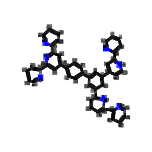 c1ccc(-c2cc(-c3cc(-c4ccc(-c5cc(-c6ccccn6)nc(-c6ccccn6)c5)cc4)cc(-c4cccc(-c5ccccn5)n4)c3)ccn2)nc1